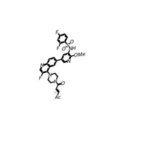 COc1ncc(-c2ccc3ncc(F)c(N4CCN(C(=O)/C=C/C(C)=O)CC4)c3c2)cc1NS(=O)(=O)c1ccc(F)cc1F